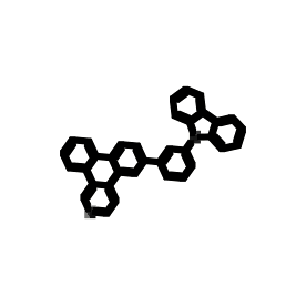 c1cc(-c2ccc3c4ccccc4c4cnccc4c3c2)cc(-n2c3ccccc3c3ccccc32)c1